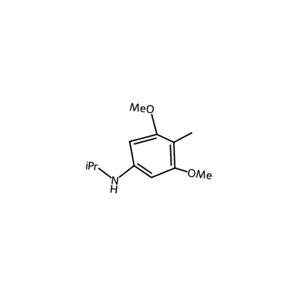 COc1cc(NC(C)C)cc(OC)c1C